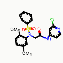 COc1ccc(OC)c(N(CC(=O)Nc2ccnc(Cl)c2)S(=O)(=O)c2ccccc2)c1